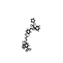 O=C(OC1CCCC1)[C@@H](NCc1ccc(OCCCNc2ccc([N+](=O)[O-])c3nonc23)cc1)c1ccccc1